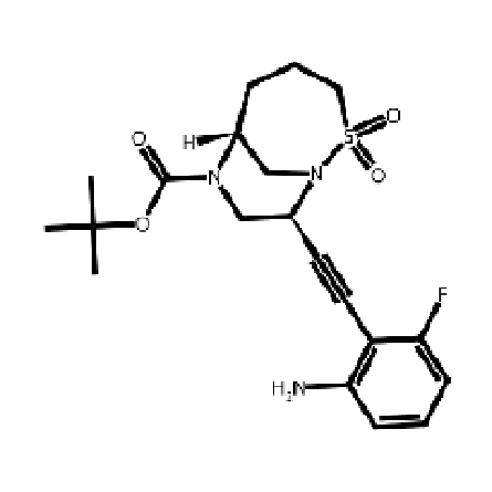 CC(C)(C)OC(=O)N1C[C@H](C#Cc2c(N)cccc2F)N2C[C@H]1CCCS2(=O)=O